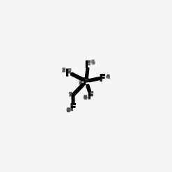 FCP(F)(F)(F)F